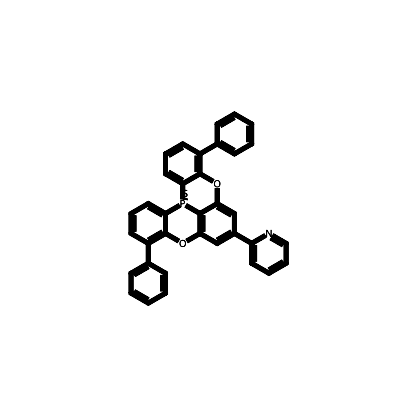 S=P12c3cccc(-c4ccccc4)c3Oc3cc(-c4ccccn4)cc(c31)Oc1c(-c3ccccc3)cccc12